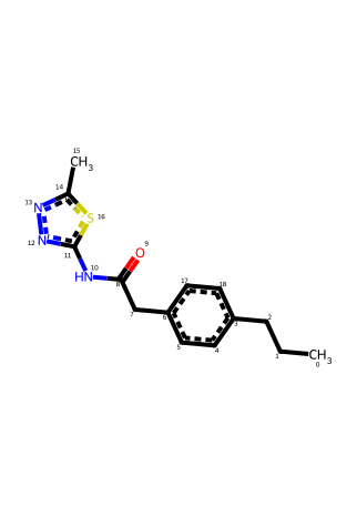 CCCc1ccc(CC(=O)Nc2nnc(C)s2)cc1